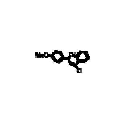 COc1ccc(-c2cc(Cl)c3ccccc3[o+]2)cc1